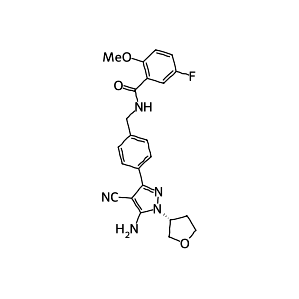 COc1ccc(F)cc1C(=O)NCc1ccc(-c2nn([C@@H]3CCOC3)c(N)c2C#N)cc1